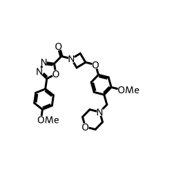 COc1ccc(-c2nnc(C(=O)N3CC(Oc4ccc(CN5CCOCC5)c(OC)c4)C3)o2)cc1